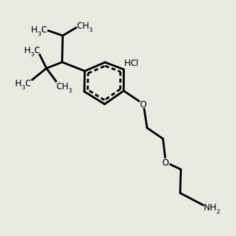 CC(C)C(c1ccc(OCCOCCN)cc1)C(C)(C)C.Cl